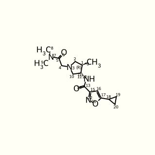 C[C@@H]1CN(CC(=O)N(C)C)C[C@H]1NC(=O)c1cc(C2CC2)on1